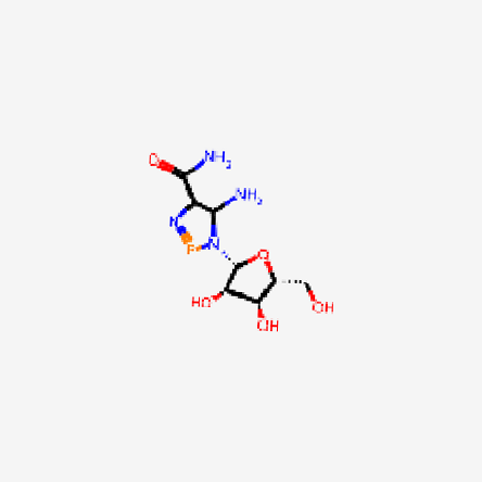 NC(=O)C1N=PN([C@@H]2O[C@H](CO)[C@@H](O)[C@H]2O)C1N